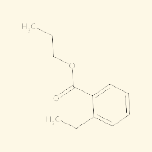 CCCOC(=O)c1ccccc1CC